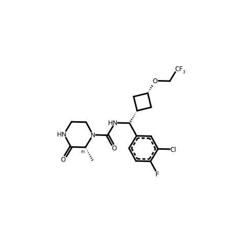 C[C@@H]1C(=O)NCCN1C(=O)NC(c1ccc(F)c(Cl)c1)[C@H]1C[C@@H](OCC(F)(F)F)C1